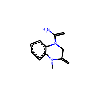 C=C1CN(C(=C)N)c2ccccc2N1C